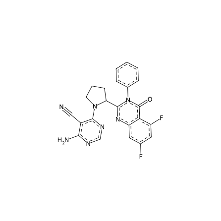 N#Cc1c(N)ncnc1N1CCCC1c1nc2cc(F)cc(F)c2c(=O)n1-c1ccccc1